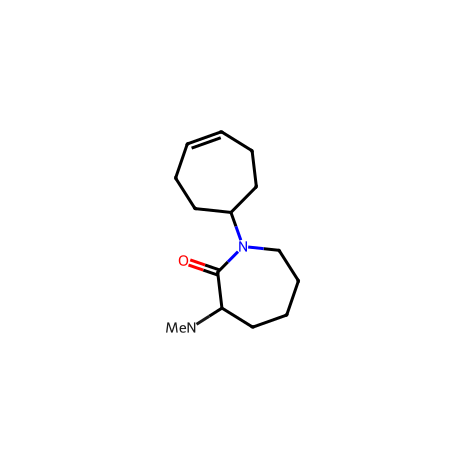 CNC1CCCCN(C2CCC=CCC2)C1=O